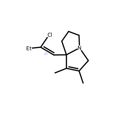 CC/C(Cl)=C/C12CCCN1CC(C)=C2C